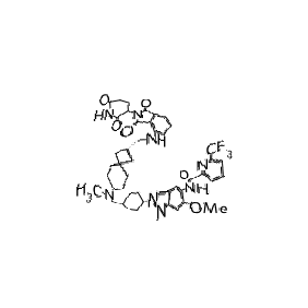 COc1cc2nn([C@H]3CC[C@H](CN(C)[C@H]4CCC5(CC4)C[C@@H](CNc4cccc6c4C(=O)N(C4CCC(=O)NC4=O)C6=O)C5)CC3)cc2cc1NC(=O)c1cccc(C(F)(F)F)n1